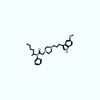 CCCCC(C)N(C(=O)CN1CCN(CCCc2c[nH]c3ccc(OC)cc23)CC1)c1ccccc1